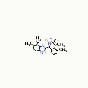 Cc1cccc2c1C(C)C(C)(C)N=C2c1nnc2ccc(C)c(C)c2n1